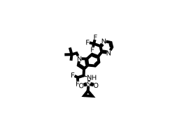 CC(C)(C)Cn1cc([C@H](NS(=O)(=O)C2CC2)C(F)F)c2ccc(-c3nccnc3C(F)(F)F)cc21